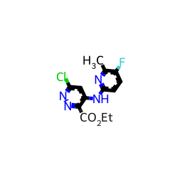 CCOC(=O)c1nnc(Cl)cc1Nc1ccc(F)c(C)n1